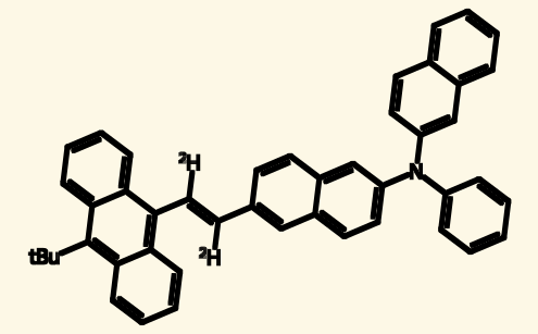 [2H]/C(=C(/[2H])c1c2ccccc2c(C(C)(C)C)c2ccccc12)c1ccc2cc(N(c3ccccc3)c3ccc4ccccc4c3)ccc2c1